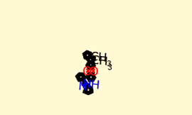 CC1(C)c2ccccc2-c2cc3c(cc21)Oc1cccc(-c2ccccc2-c2nc4ccccc4[nH]2)c1O3